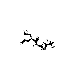 CCCN(CC=O)C(=O)Nc1nnc(C(C)(C)C)s1